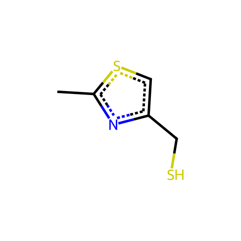 Cc1nc(CS)cs1